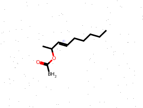 BC(=O)OC(C)/C=C/CCCCC